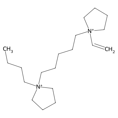 C=C[N+]1(CCCCC[N+]2(CCCC)CCCC2)CCCC1